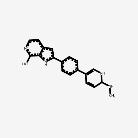 CNC1C=CC(c2ccc(-c3cc4ccnc(O)c4[nH]3)cc2)=CN1